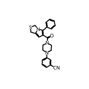 N#Cc1cccc(N2CCN(C(=O)c3cc4n(c3-c3ccccc3)CSC4)CC2)c1